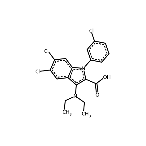 CCN(CC)c1c(C(=O)O)n(-c2cccc(Cl)c2)c2cc(Cl)c(Cl)cc12